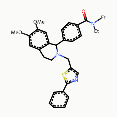 CCN(CC)C(=O)c1ccc(C2c3cc(OC)c(OC)cc3CCN2Cc2cnc(-c3ccccc3)s2)cc1